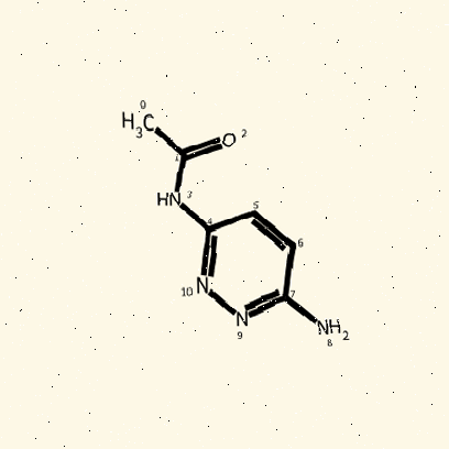 CC(=O)Nc1ccc(N)nn1